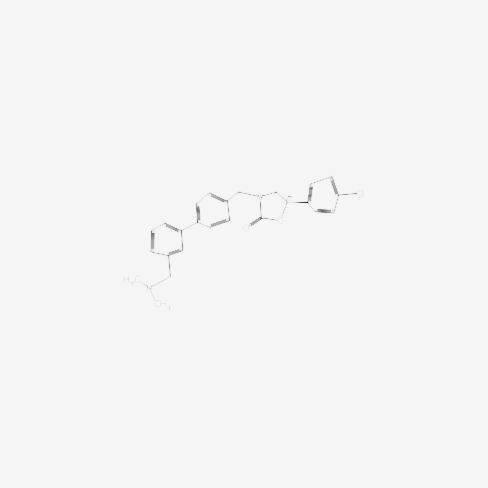 CN(C)Cc1cccc(-c2ccc(CN3C[C@@H](c4ccc(Cl)cc4)OC3=O)cc2)c1